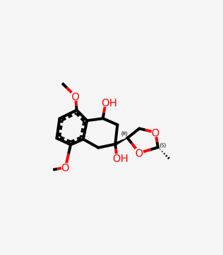 COc1ccc(OC)c2c1CC(O)([C@H]1CO[C@H](C)O1)CC2O